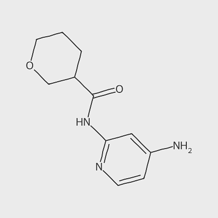 Nc1ccnc(NC(=O)C2CCCOC2)c1